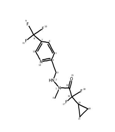 CN(NCc1ccc(C(F)(F)F)cn1)C(=O)C(F)(F)C1CC1